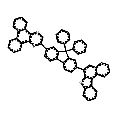 c1ccc(C2(c3ccccc3)c3cc(-c4cnc5c6ccccc6c6ccccc6c5n4)ccc3-c3ccc(-c4cc5ccccc5c5c4oc4ccccc45)cc32)cc1